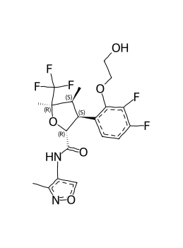 Cc1nocc1NC(=O)[C@@H]1O[C@@](C)(C(F)(F)F)[C@@H](C)[C@H]1c1ccc(F)c(F)c1OCCO